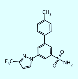 Cc1ccc(-c2cc(-n3ccc(C(F)(F)F)n3)cc(S(N)(=O)=O)c2)cc1